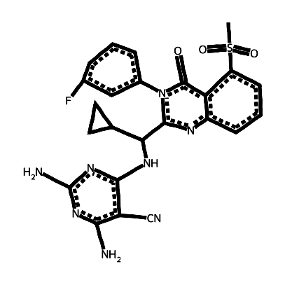 CS(=O)(=O)c1cccc2nc(C(Nc3nc(N)nc(N)c3C#N)C3CC3)n(-c3cccc(F)c3)c(=O)c12